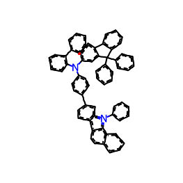 c1ccc(-c2ccccc2N(c2ccc(-c3ccc4c5ccc6ccccc6c5n(-c5ccccc5)c4c3)cc2)c2ccc3c(c2)C(c2ccccc2)(c2ccccc2)c2ccccc2-3)cc1